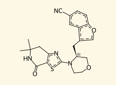 CC1(C)Cc2nc(N3CCOC[C@@H]3Cc3coc4ccc(C#N)cc34)sc2C(=O)N1